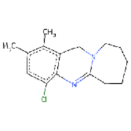 Cc1cc(Cl)c2c(c1C)CN1CCCCCC1=N2